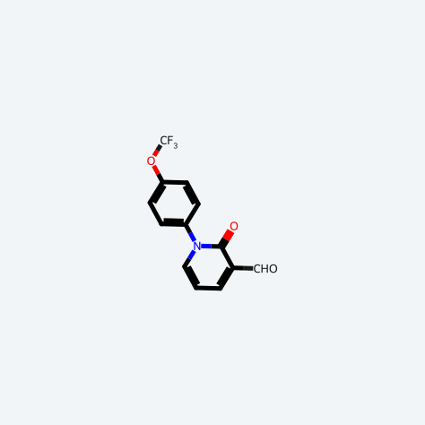 O=Cc1cccn(-c2ccc(OC(F)(F)F)cc2)c1=O